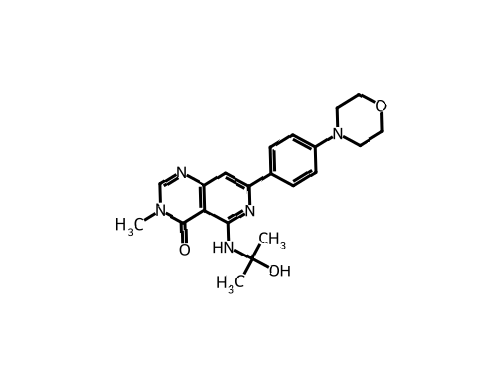 Cn1cnc2cc(-c3ccc(N4CCOCC4)cc3)nc(NC(C)(C)O)c2c1=O